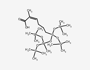 CC(=CCCC[Si](O[Si](C)(C)C)(O[Si](C)(C)C)O[Si](C)(O[Si](C)(C)C)O[Si](C)(C)C)C(=O)O